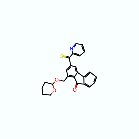 O=C1c2ccccc2-c2cc(C(=S)c3ccccn3)cc(COC3CCCCO3)c21